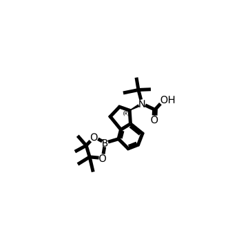 CC(C)(C)N(C(=O)O)[C@@H]1CCc2c(B3OC(C)(C)C(C)(C)O3)cccc21